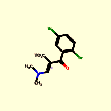 CN(C)/C=C(\C(=O)O)C(=O)c1cc(Br)ccc1Br